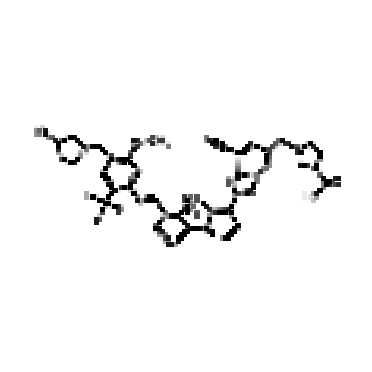 COc1cc(/C=C/c2cccc(-c3cccc(-c4nc5c(C#N)cc(CN6CC[C@@H](C(=O)O)C6)cn5n4)c3C)c2C)c(C(F)(F)F)cc1CN1CC[C@@H](O)C1